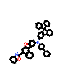 c1ccc(-c2ccc(N(c3ccc4c(c3)-c3ccccc3C4(c3ccccc3)c3ccccc3)c3ccc4oc5cc(-c6nc7ccccc7o6)c6ccccc6c5c4c3)cc2)cc1